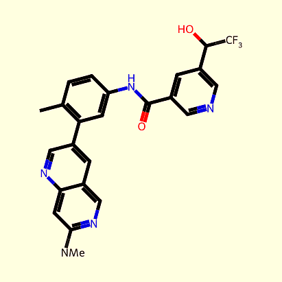 CNc1cc2ncc(-c3cc(NC(=O)c4cncc(C(O)C(F)(F)F)c4)ccc3C)cc2cn1